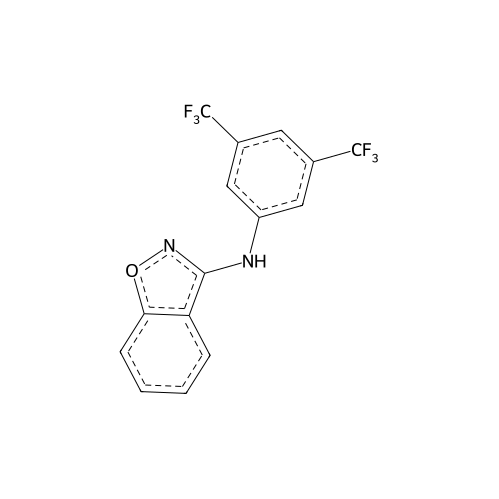 FC(F)(F)c1cc(Nc2noc3ccccc23)cc(C(F)(F)F)c1